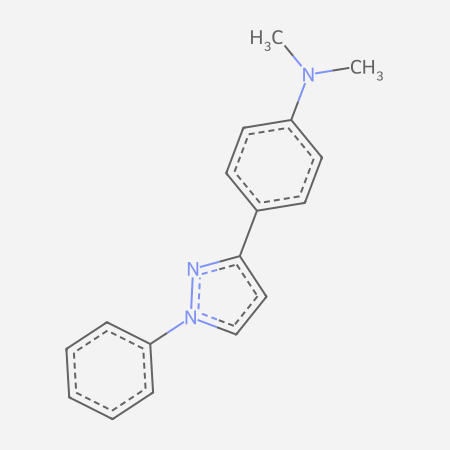 CN(C)c1ccc(-c2ccn(-c3ccccc3)n2)cc1